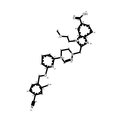 COCCn1c(CN2CCN(c3cccc(OCc4ccc(C#N)cc4F)n3)C=N2)nc2ccc(C(=O)O)cc21